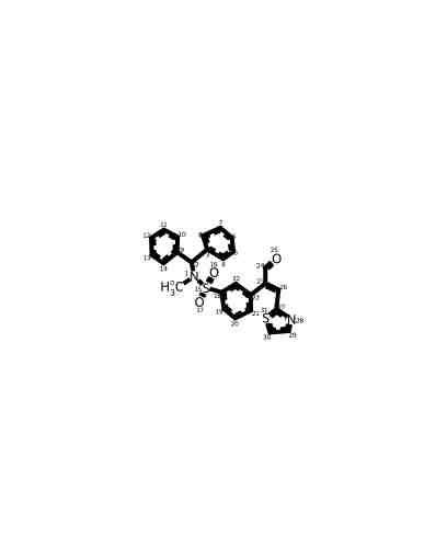 CN(C(c1ccccc1)c1ccccc1)S(=O)(=O)c1cccc(/C(C=O)=C\c2nccs2)c1